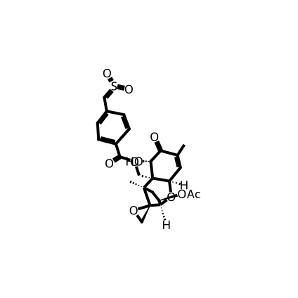 CC(=O)O[C@@H]1C[C@]2(C)[C@@]3(COC(=O)c4ccc(C=S(=O)=O)cc4)[C@H](O)C(=O)C(C)=C[C@H]3O[C@H]1[C@@]21CO1